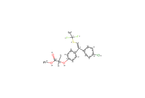 [2H]C(F)(F)SC=C(c1ccc(Cl)cc1)c1ccc(OC(C)(C)C(=O)OC(C)C)cc1